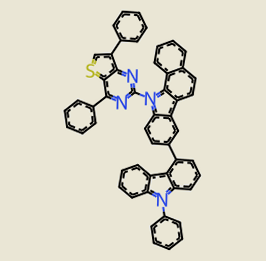 c1ccc(-c2csc3c(-c4ccccc4)nc(-n4c5ccc(-c6cccc7c6c6ccccc6n7-c6ccccc6)cc5c5ccc6ccccc6c54)nc23)cc1